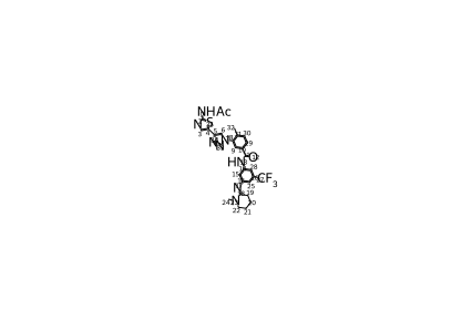 CC(=O)Nc1ncc(-c2cn(-c3cc(C(=O)Nc4cc(/N=C5\CCCCN5C)cc(C(F)(F)F)c4)ccc3C)nn2)s1